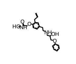 C=CCc1cc(CCNCC(O)COc2ccccc2)ccc1OCC(=O)NO